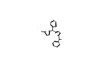 COc1ccc(C(c2ccc(CO)[nH]2)c2ccc(C(O)c3ccccc3)s2)cc1